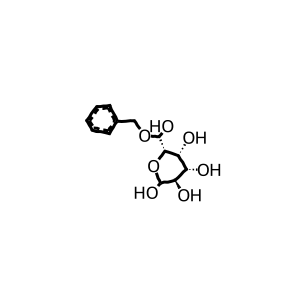 OC(OCc1ccccc1)[C@H]1OC(O)[C@H](O)[C@@H](O)[C@H]1O